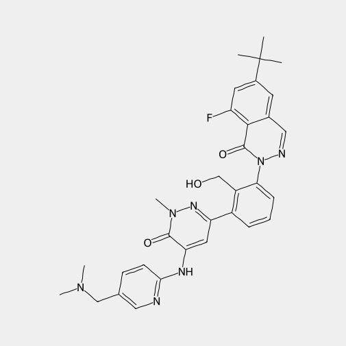 CN(C)Cc1ccc(Nc2cc(-c3cccc(-n4ncc5cc(C(C)(C)C)cc(F)c5c4=O)c3CO)nn(C)c2=O)nc1